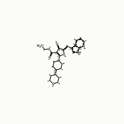 CCOC(=O)C1=C(N2CCC(N3CCOCC3)CC2)O/C(=C\c2c[nH]c3ncccc23)C1=O